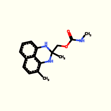 CNC(=O)OCC1(C)Nc2cccc3ccc(C)c(c23)N1